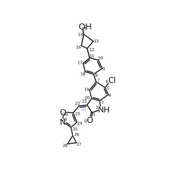 O=C1Nc2cc(Cl)c(-c3ccc(C4CC(O)C4)cc3)cc2/C1=C/c1cc(C2CC2)no1